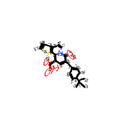 CC(C)(C)c1ccc(-c2cc(C(=O)O)c3c4sccc4ccn3c2=O)cc1